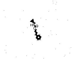 O=C(NCC1CC1)OCCCCc1ccccc1